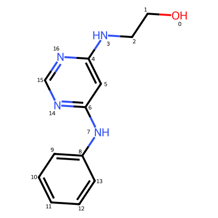 OCCNc1cc(Nc2ccccc2)ncn1